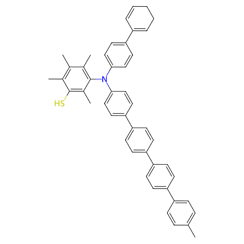 Cc1ccc(-c2ccc(-c3ccc(-c4ccc(N(c5ccc(C6=CCCC=C6)cc5)c5c(C)c(C)c(C)c(S)c5C)cc4)cc3)cc2)cc1